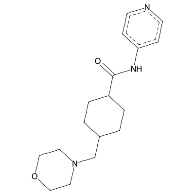 O=C(Nc1ccncc1)C1CCC(CN2CCOCC2)CC1